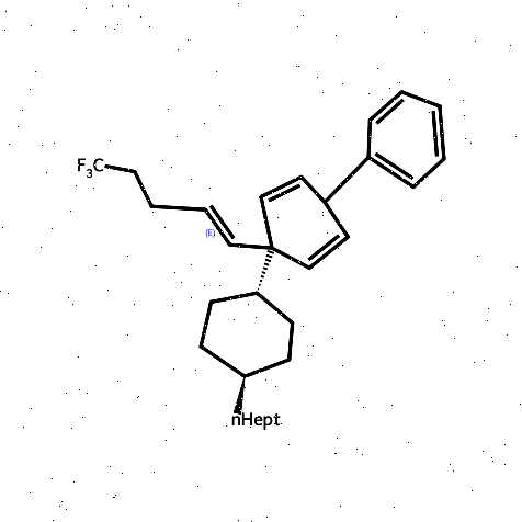 CCCCCCC[C@H]1CC[C@H](C2(/C=C/CCC(F)(F)F)C=CC(c3ccccc3)C=C2)CC1